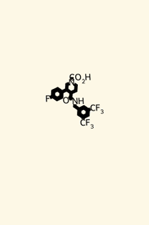 O=C(NCc1cc(C(F)(F)F)cc(C(F)(F)F)c1)C1CCN(C(=O)O)CC1c1ccc(F)cc1